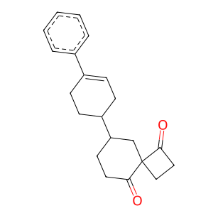 O=C1CCC(C2CC=C(c3ccccc3)CC2)CC12CCC2=O